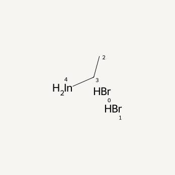 Br.Br.C[CH2][InH2]